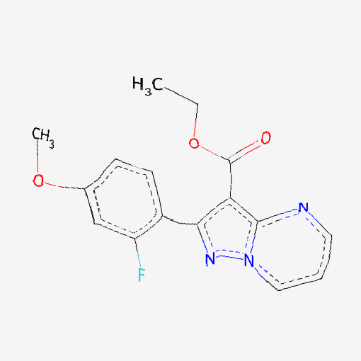 CCOC(=O)c1c(-c2ccc(OC)cc2F)nn2cccnc12